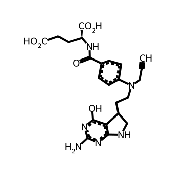 C#CCN(CCC1CNc2nc(N)nc(O)c21)c1ccc(C(=O)N[C@@H](CCC(=O)O)C(=O)O)cc1